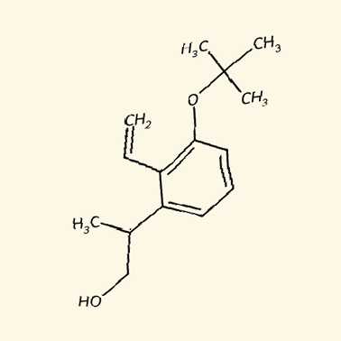 C=Cc1c(OC(C)(C)C)cccc1[C](C)CO